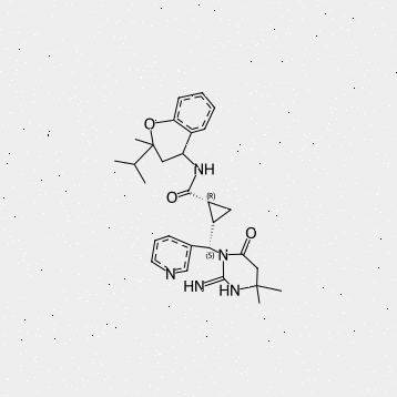 CC(C)C1(C)CC(NC(=O)[C@@H]2CC2[C@@H](c2cccnc2)N2C(=N)NC(C)(C)CC2=O)c2ccccc2O1